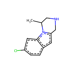 CC1CNCc2cc3ccc(Cl)cc3n21